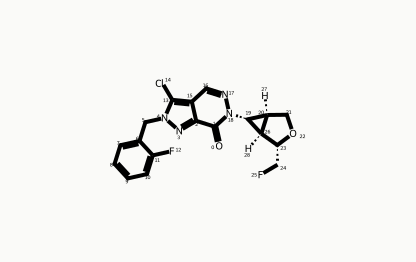 O=c1c2nn(Cc3ccccc3F)c(Cl)c2cnn1[C@@H]1[C@H]2CO[C@H](CF)[C@H]21